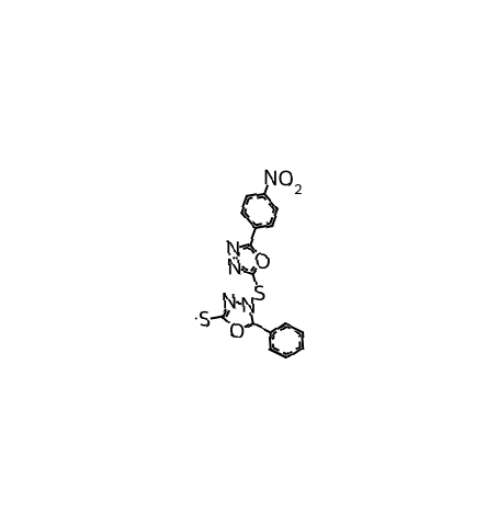 O=[N+]([O-])c1ccc(-c2nnc(SN3N=C([S])OC3c3ccccc3)o2)cc1